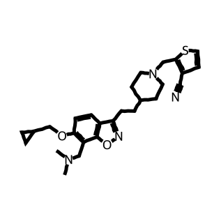 CN(C)Cc1c(OCC2CC2)ccc2c(CCC3CCN(Cc4sccc4C#N)CC3)noc12